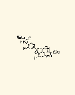 Cc1c(F)c(NC(=O)C(C)(C)C)c2c(=O)cc(-c3ccc(NC(=O)C(C)(C)C)c(F)c3)oc2c1F